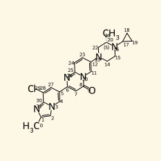 Cc1cn2cc(-c3cc(=O)n4cc(N5CCN(C6CC6)[C@@H](C)C5)ccc4n3)cc(Cl)c2n1